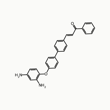 Nc1ccc(Oc2ccc(-c3ccc(C=CC(=O)c4ccccc4)cc3)cc2)c(N)c1